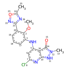 COc1c(Nc2cc(Cl)nc3[nH]n(C)c(=O)c23)cccc1-c1noc(C)n1